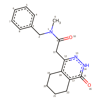 CN(Cc1ccccc1)C(=O)Cc1n[nH]c(=O)c2c1CCCC2